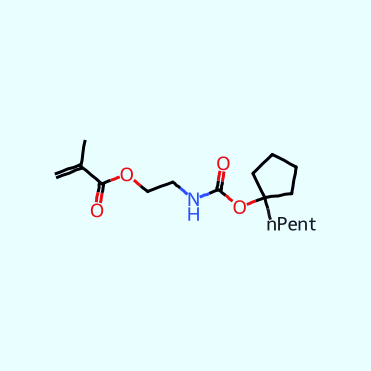 C=C(C)C(=O)OCCNC(=O)OC1(CCCCC)CCCC1